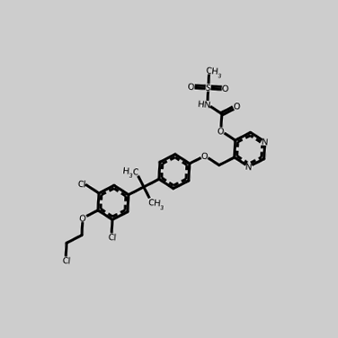 CC(C)(c1ccc(OCc2ncncc2OC(=O)NS(C)(=O)=O)cc1)c1cc(Cl)c(OCCCl)c(Cl)c1